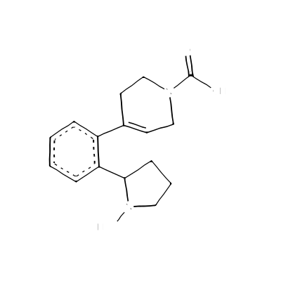 CC(=O)N1CC=C(c2ccccc2C2CCCN2C)CC1